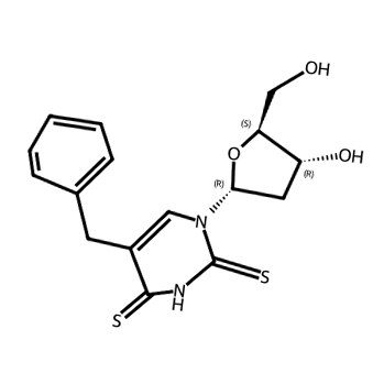 OC[C@@H]1O[C@@H](n2cc(Cc3ccccc3)c(=S)[nH]c2=S)C[C@H]1O